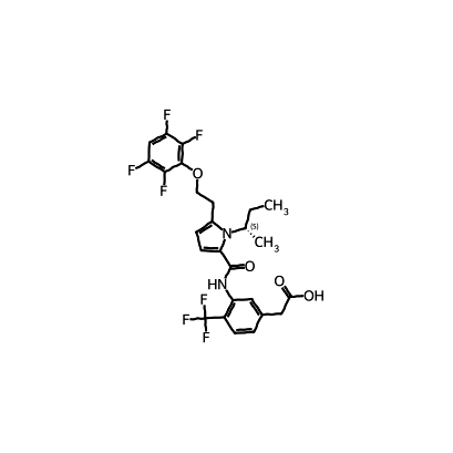 CC[C@H](C)n1c(CCOc2c(F)c(F)cc(F)c2F)ccc1C(=O)Nc1cc(CC(=O)O)ccc1C(F)(F)F